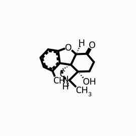 Cc1cccc2c1[C@]13CCNC(C)[C@]1(O)CCC(=O)[C@@H]3O2